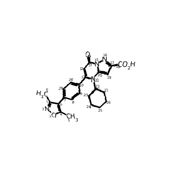 Cc1noc(C)c1-c1ccc(-c2cc(=O)n3nc(C(=O)O)cc3n2C2CCCCC2)cc1